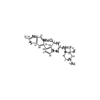 COc1nc(N[C@@H]2CCN(C(C)=O)CC2(F)F)nn2ccc(-c3ccc4nc(C)sc4c3)c12